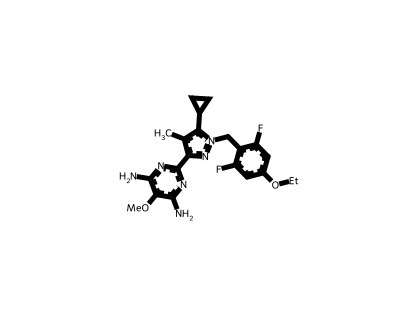 CCOc1cc(F)c(Cn2nc(-c3nc(N)c(OC)c(N)n3)c(C)c2C2CC2)c(F)c1